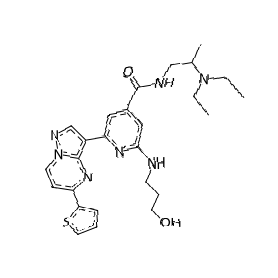 CCN(CC)C(C)CNC(=O)c1cc(NCCCO)nc(-c2cnn3ccc(-c4cccs4)nc23)c1